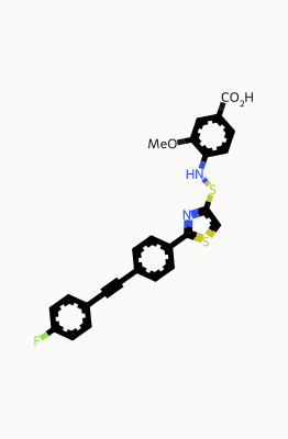 COc1cc(C(=O)O)ccc1NSc1csc(-c2ccc(C#Cc3ccc(F)cc3)cc2)n1